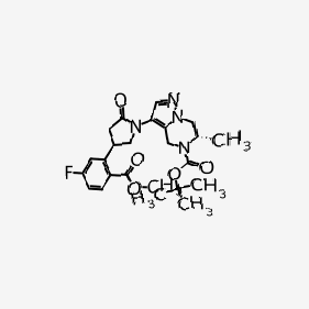 COC(=O)c1ccc(F)cc1C1CC(=O)N(c2cnn3c2CN(C(=O)OC(C)(C)C)[C@@H](C)C3)C1